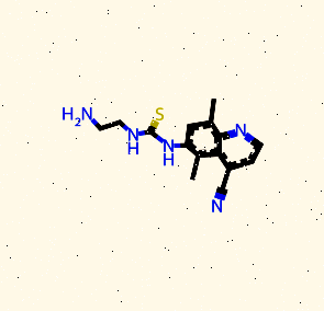 Cc1cc(NC(=S)NCCN)c(C)c2c(C#N)ccnc12